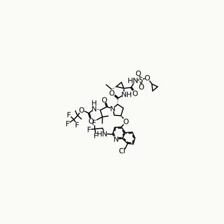 CC[C@@H]1C[C@]1(NC(=O)[C@@H]1C[C@@H](Oc2cc(NCC(F)(F)F)nc3c(Cl)cccc23)CN1C(=O)[C@@H](NC(=O)OC(C)(C)C(F)(F)F)C(C)(C)C)C(=O)NS(=O)(=O)OC1CC1